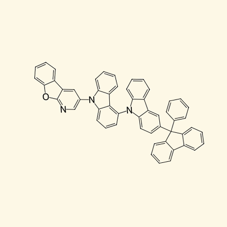 c1ccc(C2(c3ccc4c(c3)c3ccccc3n4-c3cccc4c3c3ccccc3n4-c3cnc4oc5ccccc5c4c3)c3ccccc3-c3ccccc32)cc1